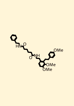 COc1ccc(CCc2c(CCNC(=O)CCCCC(=O)NCCc3ccccc3)ccc(OC)c2OC)cc1